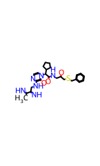 CC(=N)C(=N)CNc1nccn(C(C(=O)NCC(=O)CSCc2ccccc2)C2CCCC2)c1=O